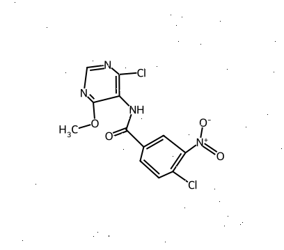 COc1ncnc(Cl)c1NC(=O)c1ccc(Cl)c([N+](=O)[O-])c1